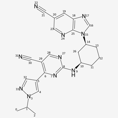 CC(C)n1cc(-c2nc(N[C@@H]3CCC[C@H](n4cnc5cc(C#N)cnc54)C3)ncc2C#N)cn1